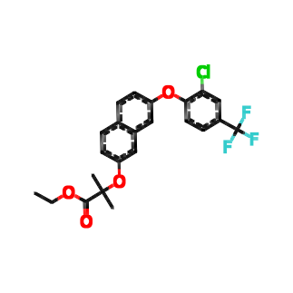 CCOC(=O)C(C)(C)Oc1ccc2ccc(Oc3ccc(C(F)(F)F)cc3Cl)cc2c1